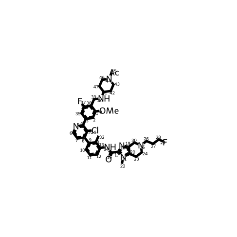 COc1cc(-c2nccc(-c3cccc(NC(=O)c4nc5c(n4C)CCN(CCCF)C5)c3C)c2Cl)cc(F)c1CNC1CCN(C(C)=O)CC1